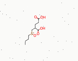 CCCC[S+]([O-])CC(CCC(=O)O)C(=O)O